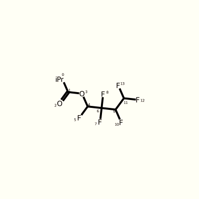 CC(C)C(=O)OC(F)C(F)(F)C(F)C(F)F